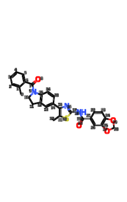 Cc1ccccc1C(=O)N1CCc2cc(-c3nc(NC(=O)c4ccc5c(c4)OCO5)sc3C)ccc21